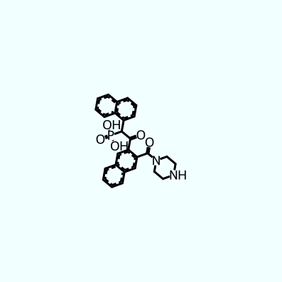 O=C(c1cc2ccccc2cc1C(=O)N1CCNCC1)C(c1cccc2ccccc12)P(=O)(O)O